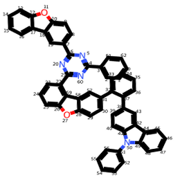 c1ccc(-c2nc(-c3ccc4oc5ccccc5c4c3)nc(-c3cccc4oc5ccc(-c6ccccc6-c6ccc7c(c6)c6ccccc6n7-c6ccccc6)cc5c34)n2)cc1